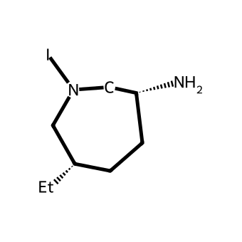 CC[C@H]1CC[C@@H](N)CN(I)C1